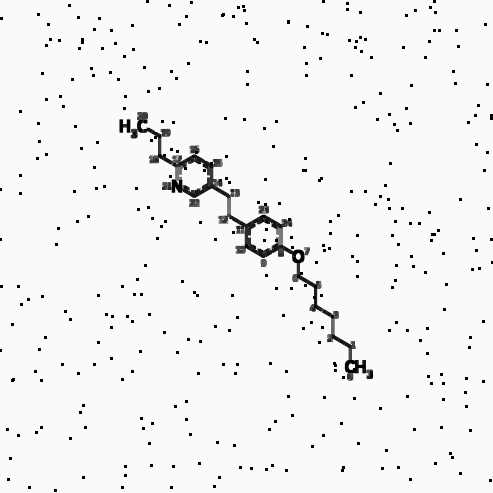 CCCCCCCOc1ccc(CCc2ccc(CCC)nc2)cc1